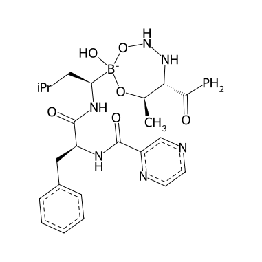 CC(C)C[C@H](NC(=O)[C@H](Cc1ccccc1)NC(=O)c1cnccn1)[B-]1(O)ONN[C@H](C(=O)P)[C@@H](C)O1